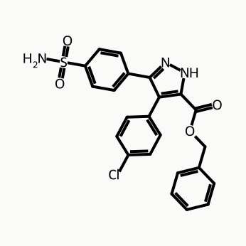 NS(=O)(=O)c1ccc(-c2n[nH]c(C(=O)OCc3ccccc3)c2-c2ccc(Cl)cc2)cc1